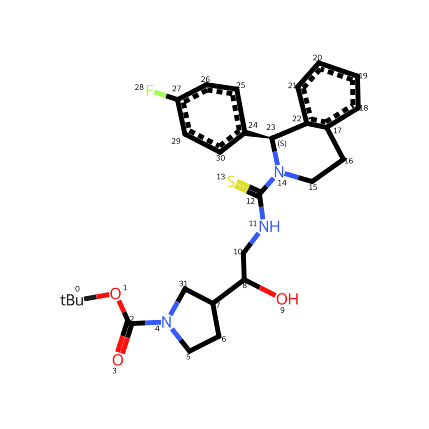 CC(C)(C)OC(=O)N1CCC(C(O)CNC(=S)N2CCc3ccccc3[C@@H]2c2ccc(F)cc2)C1